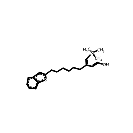 C[Si](C)(C)C=C(C=CO)CCCCCCc1cc2ccccc2s1